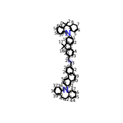 CC1(C)C2=C(C=CCC2)N(c2ccc3c(c2)C(C)(C)c2cc(/C=C/c4ccc5c(ccc6cc(N7c8ccccc8CCC8C=CC=CC87)ccc65)c4)ccc2-3)c2ccccc21